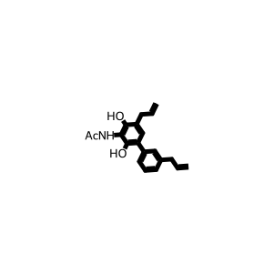 C=CCc1cccc(-c2cc(CC=C)c(O)c(NC(C)=O)c2O)c1